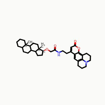 C[C@]12CCCCC1CCC1C2CC[C@@]2(C)C1CC[C@@H]2OCC(=O)NCCc1cc(=O)oc2c3c4c(cc12)CCCN4CCC3